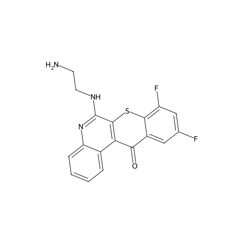 NCCNc1nc2ccccc2c2c(=O)c3cc(F)cc(F)c3sc12